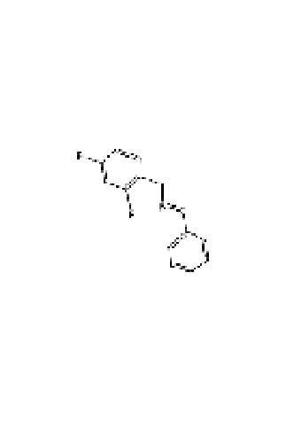 Fc1ccc(CN=Cc2ccccc2)c(F)c1